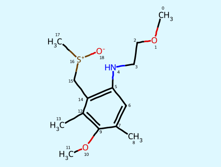 COCCNc1cc(C)c(OC)c(C)c1C[S+](C)[O-]